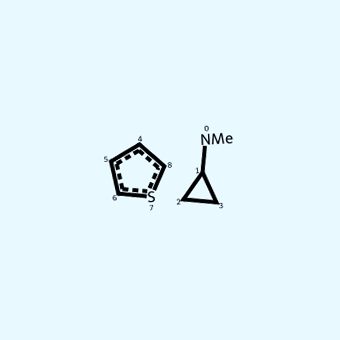 CNC1CC1.c1ccsc1